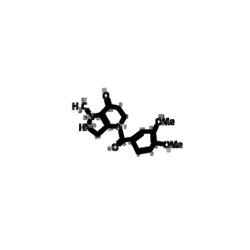 COc1ccc(C(=O)N2CCC(=O)C3=C2CNN3C)cc1OC